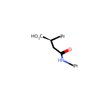 CC(C)NC(=O)C[C@@H](C(=O)O)C(C)C